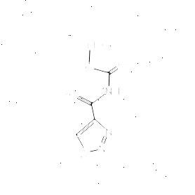 CCCCCCOC(=O)NC(=O)c1csnn1